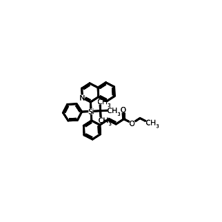 CCOC(=O)/C=C/c1ccccc1[Si](c1ccccc1)(c1nccc2ccccc12)C(C)(C)C